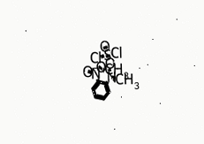 CN(C)c1ccccc1[N+](=O)[O-].O=S(=O)(Cl)Cl